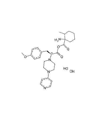 COc1ccc(C[C@@H](C(=O)OC(=O)C2(N)CCCCC2C)N2CCN(c3ccncc3)CC2)cc1.Cl.Cl